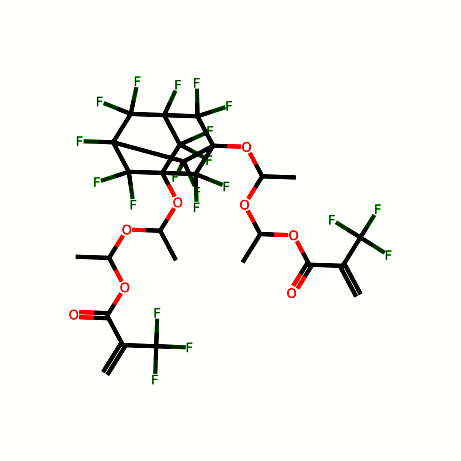 C=C(C(=O)OC(C)OC(C)OC12C(F)(F)C3(F)C(F)(F)C(F)(C1(F)F)C(F)(F)C(OC(C)OC(C)OC(=O)C(=C)C(F)(F)F)(C3(F)F)C2(F)F)C(F)(F)F